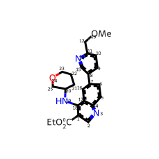 CCOC(=O)c1cnc2ccc(-c3ccc(COC)nc3)cc2c1NC1CCCOC1